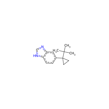 CC(C)(C)C1(c2ccc3[nH]cnc3c2)CC1